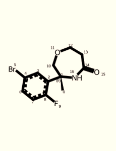 C[C@@]1(c2cc(Br)ccc2F)COCCC(=O)N1